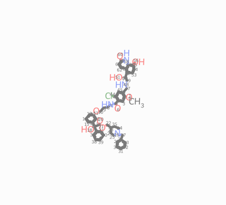 COc1cc(C(=O)NCCCOc2cccc(C(O)(C(=O)OCC3CCN(Cc4ccccc4)CC3)c3ccccc3)c2)c(Cl)cc1CNC[C@H](O)c1ccc(O)c2[nH]c(=O)ccc12